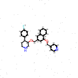 Fc1ccc(C2CCNCC2OCc2cc(OCc3ccncc3)c3ccccc3c2)cc1